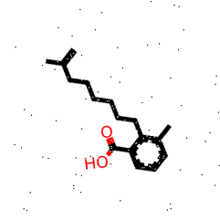 C=C(C)CCCCCCc1c(C)cccc1C(=O)O